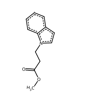 COC(=O)CCn1ccc2c[c]ccc21